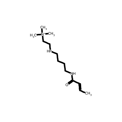 CC=CC(=O)NCCCCPCC[N+](C)(C)C